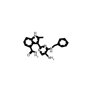 Cc1[nH]c2cccc(C(N)=O)c2c1-c1ncc(N)c(NCc2ccccc2)n1